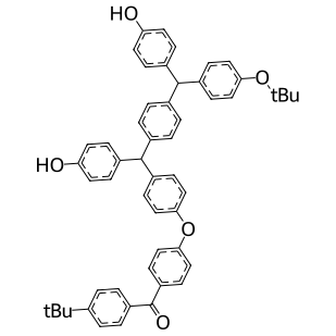 CC(C)(C)Oc1ccc(C(c2ccc(O)cc2)c2ccc(C(c3ccc(O)cc3)c3ccc(Oc4ccc(C(=O)c5ccc(C(C)(C)C)cc5)cc4)cc3)cc2)cc1